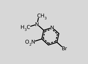 CN(C)c1ncc(Br)cc1[N+](=O)[O-]